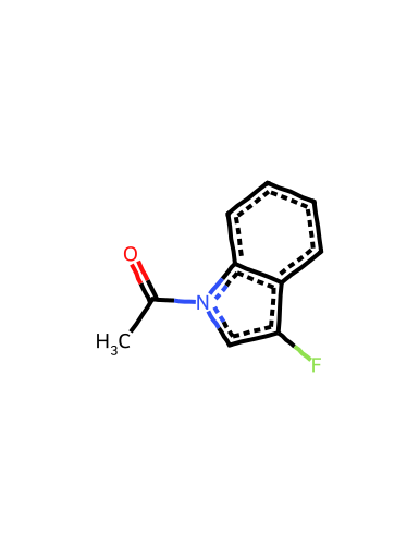 CC(=O)n1cc(F)c2ccccc21